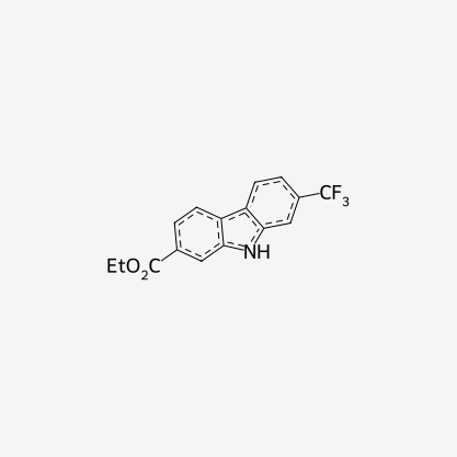 CCOC(=O)c1ccc2c(c1)[nH]c1cc(C(F)(F)F)ccc12